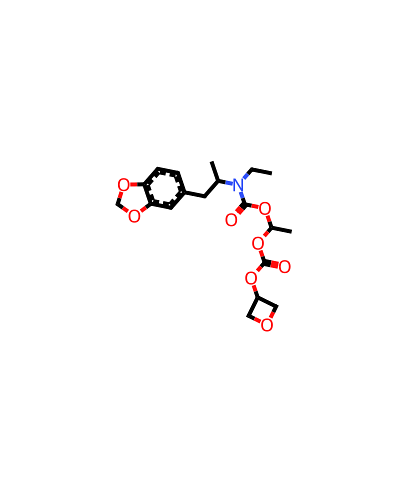 CCN(C(=O)OC(C)OC(=O)OC1COC1)C(C)Cc1ccc2c(c1)OCO2